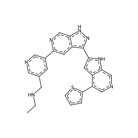 CCNCc1cncc(-c2cc3c(-c4cc5c(-c6cccs6)cncc5[nH]4)n[nH]c3cn2)c1